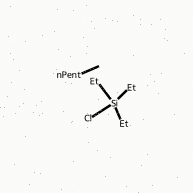 CCCCCC.CC[Si](Cl)(CC)CC